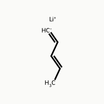 [CH-]=CC=CC.[Li+]